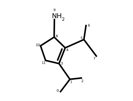 CC(C)C1=C(C(C)C)C(N)CC1